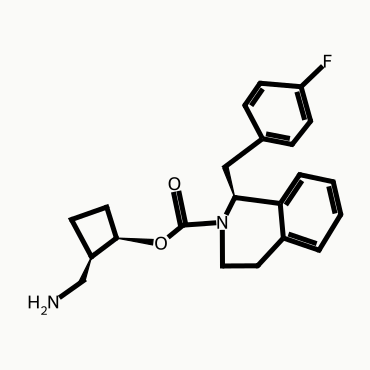 NC[C@H]1CC[C@H]1OC(=O)N1CCc2ccccc2[C@@H]1Cc1ccc(F)cc1